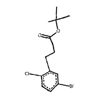 CC(C)(C)OC(=O)CCc1cc(Br)ccc1Cl